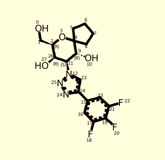 OC[C@H]1OC2(CCCC2)[C@H](O)[C@@H](n2cc(-c3cc(F)c(F)c(F)c3)nn2)[C@H]1O